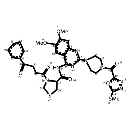 COc1cc2nc(N3CCN(C(=O)c4nnc(SC)o4)CC3)nc(NC(=O)C3CSCN3C(=S)CCC(=O)c3ccccc3)c2cc1OC